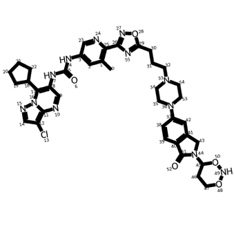 Cc1cc(NC(=O)Nc2cnc3c(Cl)cnn3c2C2CCCC2)cnc1-c1noc(CCCN2CCN(c3ccc4c(c3)CN(C3CCONO3)C4=O)CC2)n1